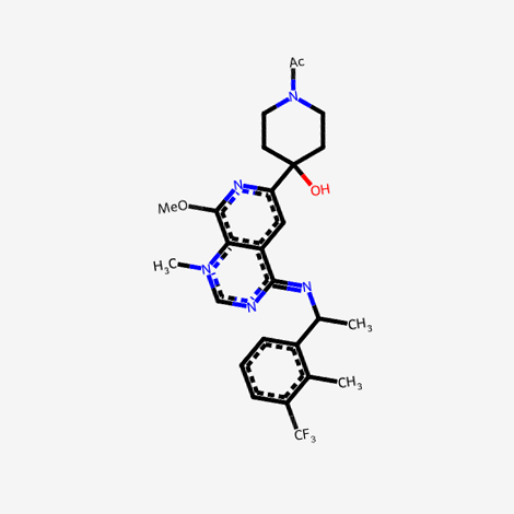 COc1nc(C2(O)CCN(C(C)=O)CC2)cc2/c(=N/C(C)c3cccc(C(F)(F)F)c3C)ncn(C)c12